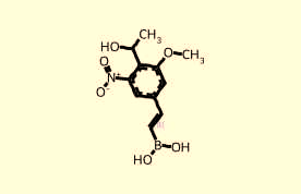 COc1cc(/C=C/B(O)O)cc([N+](=O)[O-])c1C(C)O